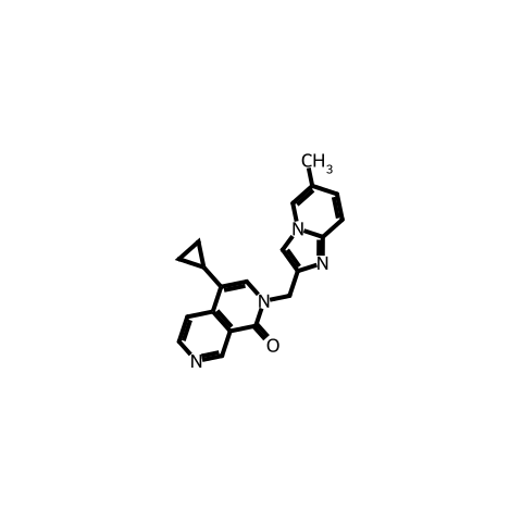 Cc1ccc2nc(Cn3cc(C4CC4)c4ccncc4c3=O)cn2c1